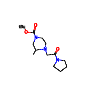 CC1CN(C(=O)OC(C)(C)C)CCN1CC(=O)N1CCCC1